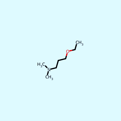 CCOCCC[Si](C)C